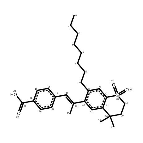 CCCCCCCCc1cc2c(cc1C(C)=Cc1ccc(C(=O)O)cc1)C(C)(C)CCS2(=O)=O